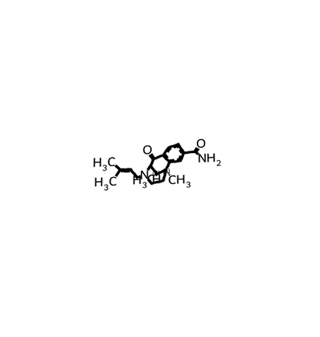 CC(C)=CCN1CC[C@]2(C)c3cc(C(N)=O)ccc3C(=O)C1[C@@H]2C